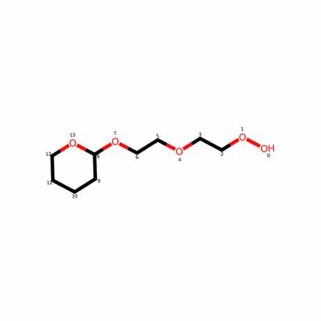 OOCCOCCOC1CCCCO1